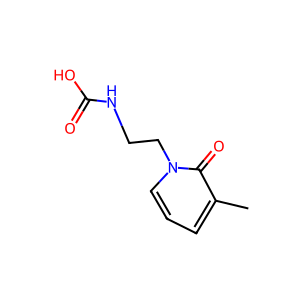 Cc1cccn(CCNC(=O)O)c1=O